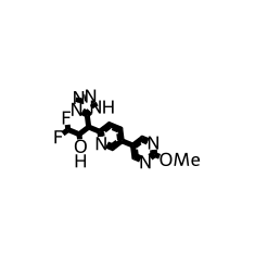 COc1ncc(-c2ccc(C(c3nnn[nH]3)C(O)C(F)F)nc2)cn1